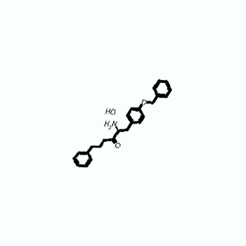 Cl.N[C@@H](Cc1ccc(OCc2ccccc2)cc1)C(=O)CCCc1ccccc1